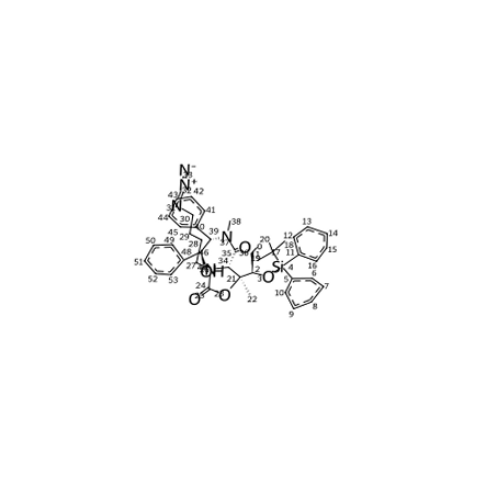 CC[C@@H](O[Si](c1ccccc1)(c1ccccc1)C(C)(C)C)[C@@]1(C)OC(=O)N(CCCCN=[N+]=[N-])[C@@H]1C(=O)N(C)[C@@H](c1ccccc1)[C@@H](O)c1ccccc1